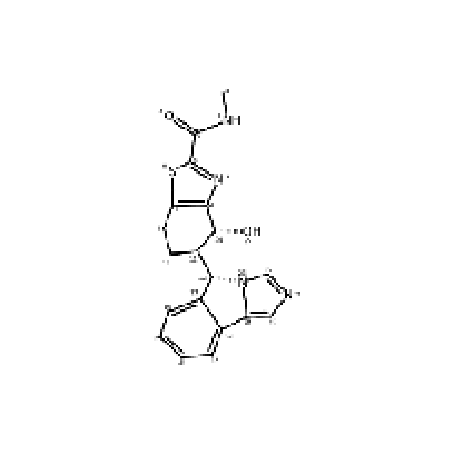 CNC(=O)c1nc2c(s1)CC[C@H]([C@H]1c3ccccc3-c3cncn31)[C@H]2O